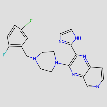 Fc1ccc(Cl)cc1CN1CCN(c2nc3cnccc3nc2-c2ncc[nH]2)CC1